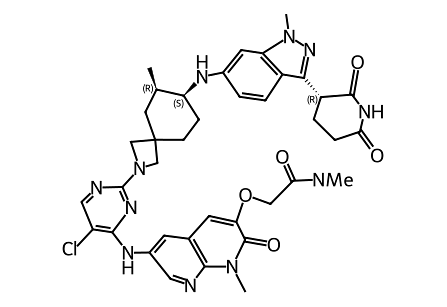 CNC(=O)COc1cc2cc(Nc3nc(N4CC5(CC[C@H](Nc6ccc7c([C@H]8CCC(=O)NC8=O)nn(C)c7c6)[C@H](C)C5)C4)ncc3Cl)cnc2n(C)c1=O